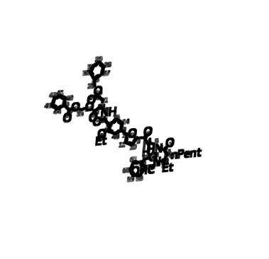 CCCCC[C@@H](C(=O)NCNC(=O)c1ccc(-c2ccc(C(=O)N[C@@H](CC(=O)OCc3ccccc3)C(=O)OCOC(=O)c3ccccc3)c(OCC)c2)o1)[C@@H](CC)N(C=O)OCc1ccccc1